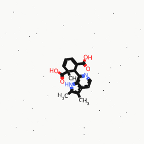 Cc1[nH]c2c(C3C(C(=O)O)=CC=CC3(C)C(=O)O)nccc2c1C